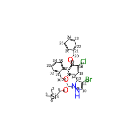 C[Si](C)(C)CCOCN1NC=C(Br)C1c1cc(Cl)c(OCc2ccccc2)cc1OCc1ccccc1